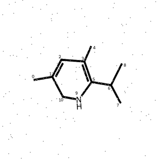 CC1=CC(C)=C(C(C)C)NC1